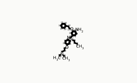 CCCCn1c(-c2ccc(N)c(OCCc3ccccc3)c2)nc2ccc(OCCCN(CC)CC)cc21